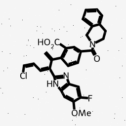 C=C(/C(=C\C=C/Cl)c1nc2cc(F)c(OC)cc2[nH]1)c1ccc(C(=O)N2CCc3ccccc3C2)cc1C(=O)O